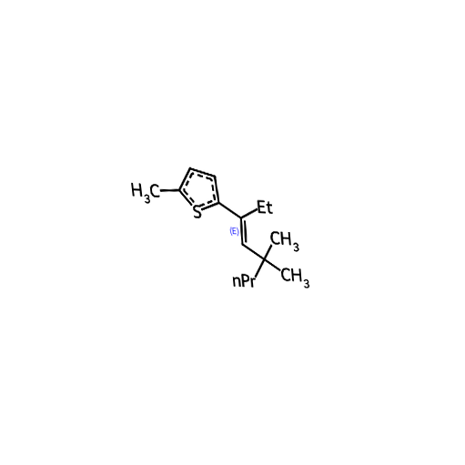 CCCC(C)(C)/C=C(\CC)c1ccc(C)s1